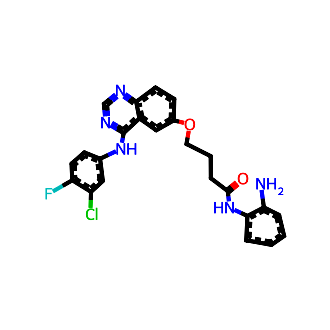 Nc1ccccc1NC(=O)CCCOc1ccc2ncnc(Nc3ccc(F)c(Cl)c3)c2c1